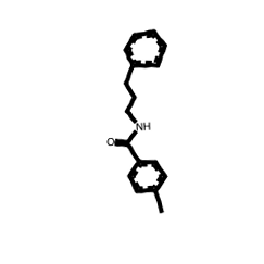 Cc1ccc(C(=O)NCCCc2ccccc2)cc1